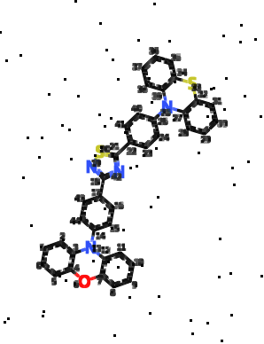 c1ccc2c(c1)Oc1ccccc1N2c1ccc(-c2nsc(-c3ccc(N4c5ccccc5Sc5ccccc54)cc3)n2)cc1